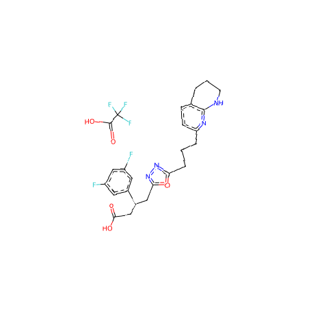 O=C(O)C(F)(F)F.O=C(O)CC(Cc1nnc(CCCc2ccc3c(n2)NCCC3)o1)c1cc(F)cc(F)c1